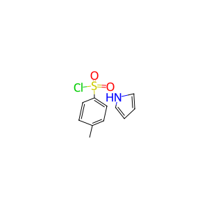 Cc1ccc(S(=O)(=O)Cl)cc1.c1cc[nH]c1